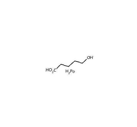 O=C(O)CCCCO.[PoH2]